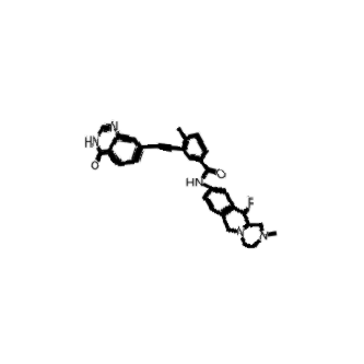 Cc1ccc(C(=O)Nc2ccc3c(c2)C(F)C2CN(C)CCN2C3)cc1C#Cc1ccc2c(=O)[nH]cnc2c1